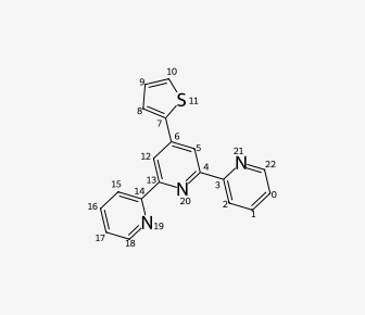 c1ccc(-c2cc(-c3cccs3)cc(-c3ccccn3)n2)nc1